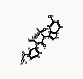 C=CN(C(=O)C(c1csc2ccc(Cl)cc12)P(C)(=O)O)c1cccc(OC(F)(F)F)c1